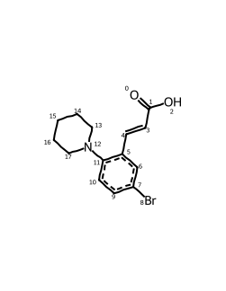 O=C(O)/C=C/c1cc(Br)ccc1N1CCCCC1